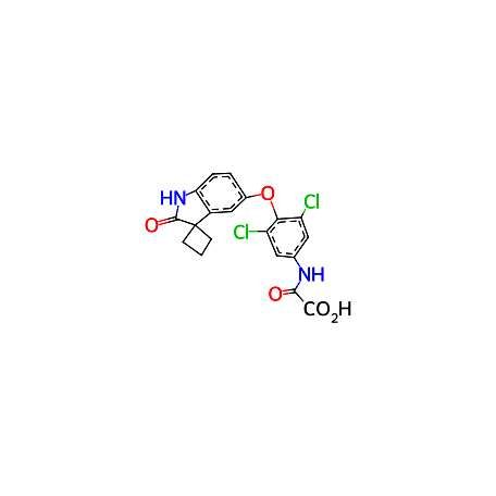 O=C(O)C(=O)Nc1cc(Cl)c(Oc2ccc3c(c2)C2(CCC2)C(=O)N3)c(Cl)c1